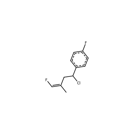 C/C(=C/F)CC(Cl)c1ccc(F)cc1